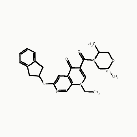 CCn1cc(C(=O)N2C[C@@H](C)OCC2C)c(=O)c2cc(OC3Cc4ccccc4C3)ncc21